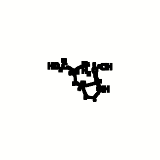 Cl.N[C@@H](C[C@@H]1CCNC1=O)C(=O)O